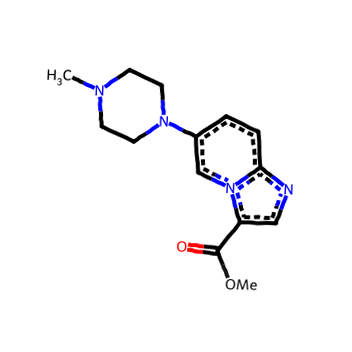 COC(=O)c1cnc2ccc(N3CCN(C)CC3)cn12